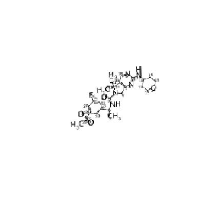 CC(NC(=O)N1Cc2nc(NC3CCOCC3)ncc2C1(C)C)c1cc(F)cc(S(C)(=O)=O)c1